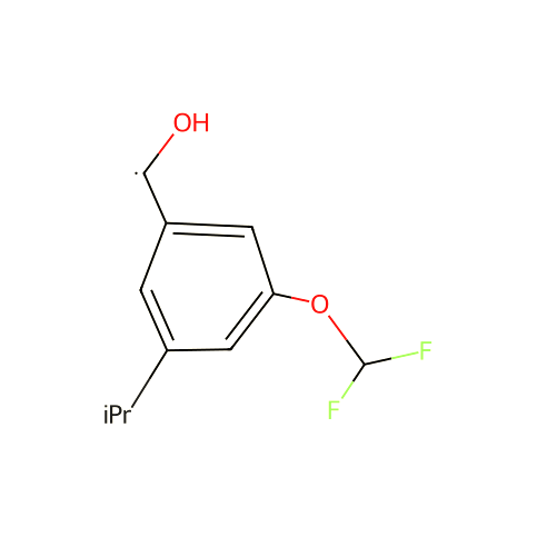 CC(C)c1cc([CH]O)cc(OC(F)F)c1